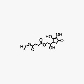 COC(=O)CCC(=O)OCC(O)C1CC(=O)C(O)=C1O